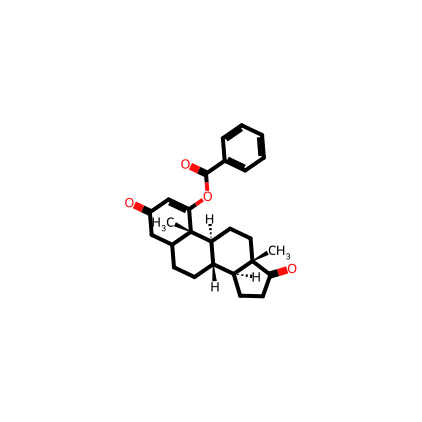 C[C@]12C(OC(=O)c3ccccc3)=CC(=O)CC1CC[C@@H]1[C@@H]2CC[C@]2(C)C(=O)CC[C@@H]12